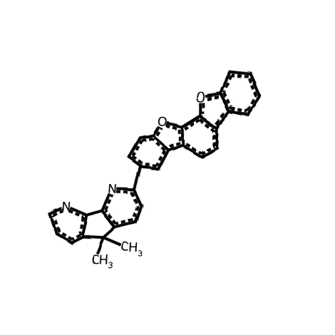 CC1(C)c2cccnc2-c2nc(-c3ccc4oc5c(ccc6c7ccccc7oc65)c4c3)ccc21